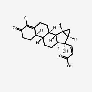 C[C@]12CC[C@H]3[C@@H](CCC4=C(Cl)C(=O)CC[C@@H]43)[C@@H]1[C@H]1C[C@H]1[C@@]2(O)/C=C\C(=O)O